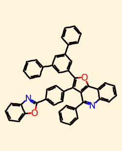 c1ccc(-c2cc(-c3ccccc3)cc(-c3oc4c(c(-c5ccccc5)nc5ccccc54)c3-c3ccc(-c4nc5ccccc5o4)cc3)c2)cc1